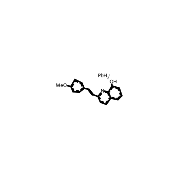 COc1ccc(C=Cc2ccc3cccc(O)c3n2)cc1.[PbH2]